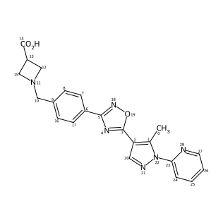 Cc1c(-c2nc(-c3ccc(CN4CC(C(=O)O)C4)cc3)no2)cnn1-c1ccccn1